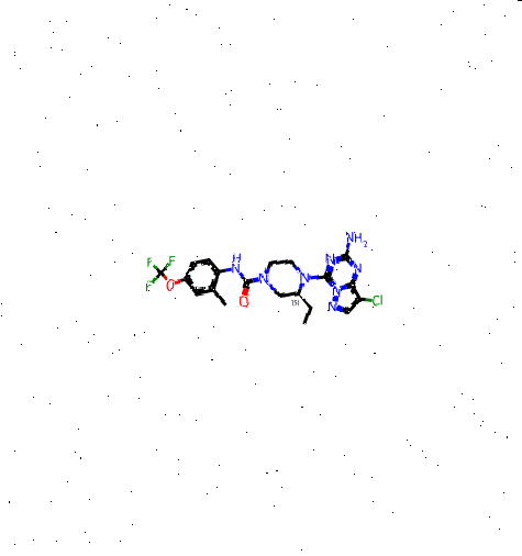 CC[C@H]1CN(C(=O)Nc2ccc(OC(F)(F)F)cc2C)CCN1c1nc(N)nc2c(Cl)cnn12